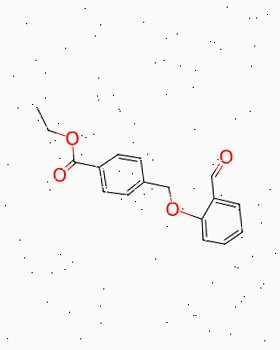 CCOC(=O)c1ccc(COc2ccccc2C=O)cc1